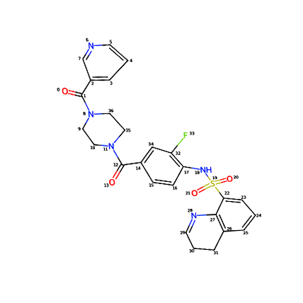 O=C(c1cccnc1)N1CCN(C(=O)c2ccc(NS(=O)(=O)c3cccc4c3N=CCC4)c(F)c2)CC1